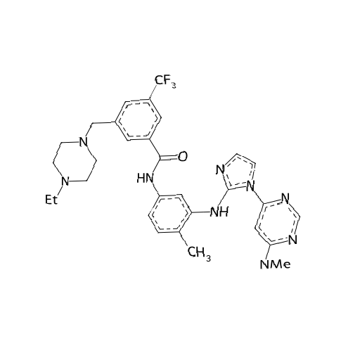 CCN1CCN(Cc2cc(C(=O)Nc3ccc(C)c(Nc4nccn4-c4cc(NC)ncn4)c3)cc(C(F)(F)F)c2)CC1